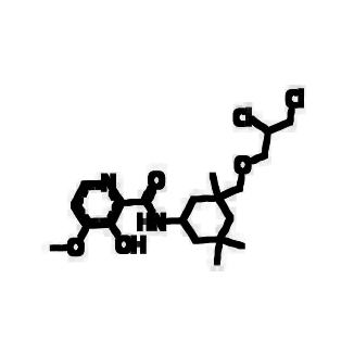 COc1ccnc(C(=O)NC2CC(C)(C)CC(C)(COCC(Cl)CCl)C2)c1O